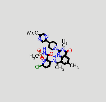 COc1cnc(C2CCN(c3nc4c([C@@H](C)Nc5ccc(Cl)nc5C(=O)NS(C)(=O)=O)cc(C)cc4c(=O)n3C)CC2)cn1